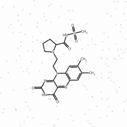 Cc1cc2nc3c(=O)[nH]c(=O)nc-3n(CCN3CCCC3C(=O)NS(C)(=O)=O)c2cc1C